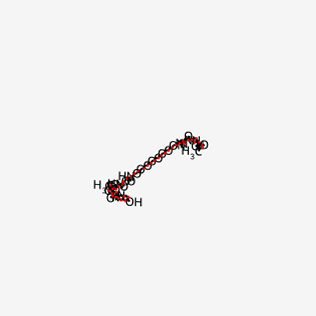 CC[C@@]1(OC(=O)CNC(=O)COCC(=O)NCCOCCOCCOCCOCCOCCOCCOCCOCCn2cc(CNC(=O)C3CCC(CN4C(=O)CC(C)C4=O)CC3)nn2)C(=O)OCc2c1cc1n(c2=O)Cc2cc3cc(O)ccc3nc2-1